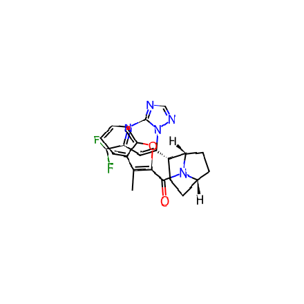 Cc1c(C(=O)N2[C@H]3CC[C@H](c4cc(C(F)F)nc5ncnn45)[C@@H]2CC3)oc2ccccc12